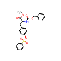 COC(=O)[C@H](Cc1ccc(OS(=O)(=O)c2ccccc2)cc1)NC(=O)OCc1ccccc1